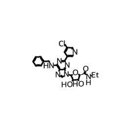 CCNC(=O)[C@@H]1OC(n2cnc3c(NCc4ccccc4)nc(-c4cncc(Cl)c4)nc32)C(O)C1O